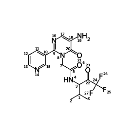 CC(C)C(NC(=O)Cn1c(-c2cccnc2)ncc(N)c1=O)C(=O)C(F)(F)F